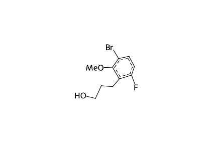 COc1c(Br)ccc(F)c1CCCO